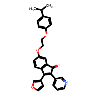 CC(C)c1ccc(OCCOc2ccc3c(c2)C(=O)C(c2cccnc2)=C3c2ccoc2)cc1